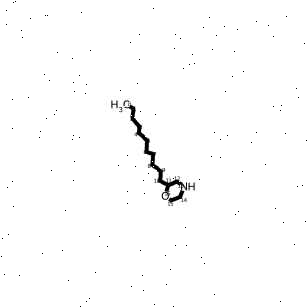 CCCCCCCCCCCC1CNCCO1